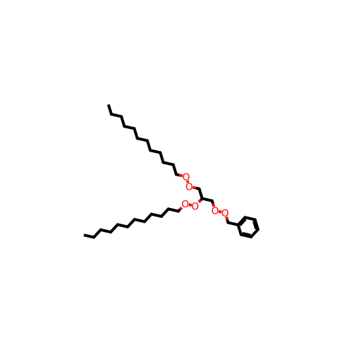 CCCCCCCCCCCCOOCC(COOCc1ccccc1)OOCCCCCCCCCCCC